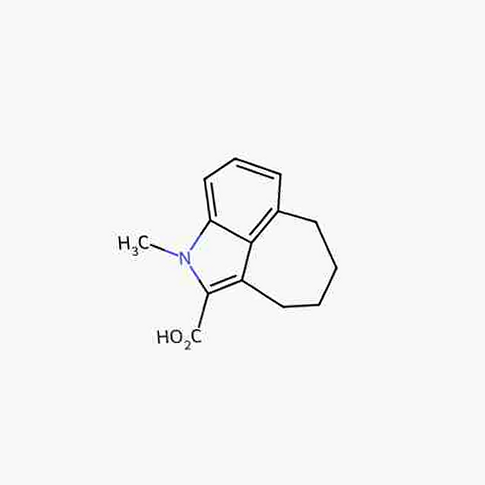 Cn1c(C(=O)O)c2c3c(cccc31)CCCC2